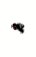 COCOc1cc(C(F)(F)F)cc(C)c1-c1cc2c(Br)cn([C@H]3CC[C@H]4CC[C@@H]3N4C(=O)OC(C)(C)C)c2nn1